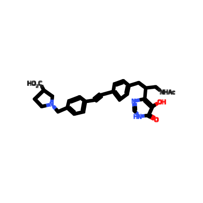 CC(=O)NCC(Cc1ccc(C#Cc2ccc(CN3CCC(C(=O)O)C3)cc2)cc1)c1nc[nH]c(=O)c1O